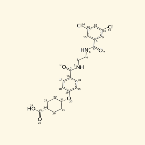 O=C(NCCNC(=O)c1cc(Cl)cc(Cl)c1)c1ccc(O[C@H]2CC[C@@H](C(=O)O)CC2)cc1